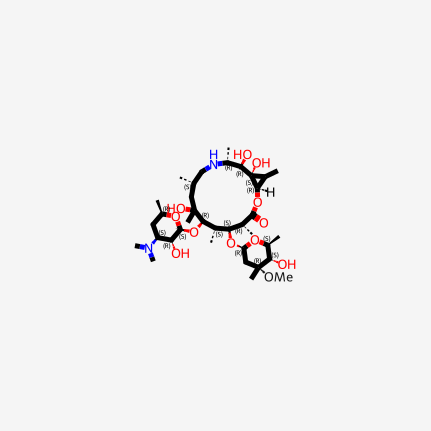 CO[C@]1(C)C[C@H](O[C@H]2[C@H](C)[C@@H](O[C@@H]3O[C@H](C)C[C@H](N(C)C)[C@H]3O)C(C)(O)C[C@H](C)CN[C@H](C)[C@@H](O)[C@@]3(O)C(C)[C@H]3OC(=O)[C@@H]2C)O[C@@H](C)[C@@H]1O